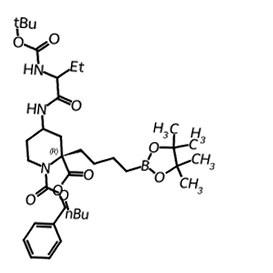 CCCCOC(=O)N1CCC(NC(=O)C(CC)NC(=O)OC(C)(C)C)C[C@]1(CCCCB1OC(C)(C)C(C)(C)O1)C(=O)OCc1ccccc1